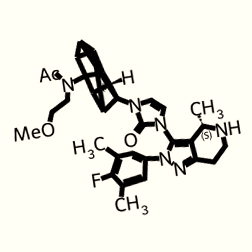 COCCN(C(C)=O)C12C3C4C56C1C5C4(n1ccn(-c4c5c(nn4-c4cc(C)c(F)c(C)c4)CCN[C@H]5C)c1=O)[C@H]3C62